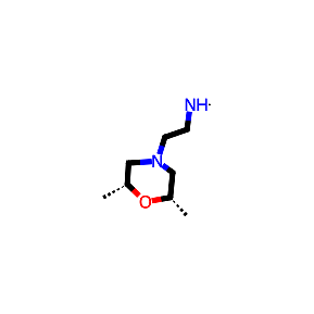 C[C@@H]1CN(CC[NH])C[C@H](C)O1